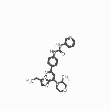 CCc1cnc2c(N3CCOCC3C)cc(-c3ccc(NC(=O)Nc4cccnc4)cc3)nn12